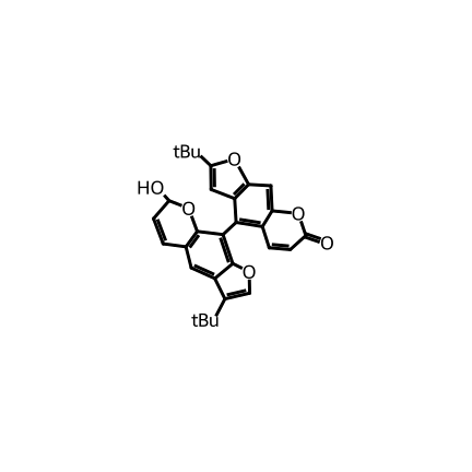 CC(C)(C)c1cc2c(-c3c4c(cc5c(C(C)(C)C)coc35)C=CC(O)O4)c3ccc(=O)oc3cc2o1